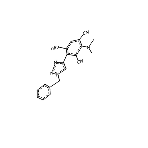 CCCCc1cc(C#N)c(N(C)C)c(C#N)c1-c1cn(Cc2ccccc2)nn1